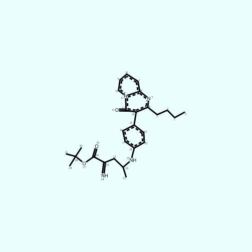 CCCCc1nc2ccccn2c(=O)c1-c1ccc(NC(C)CC(=N)C(=O)OC(C)(C)C)cc1